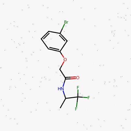 CC(NC(=O)COc1cccc(Br)c1)C(F)(F)F